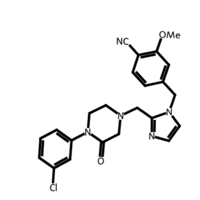 COc1cc(Cn2ccnc2CN2CCN(c3cccc(Cl)c3)C(=O)C2)ccc1C#N